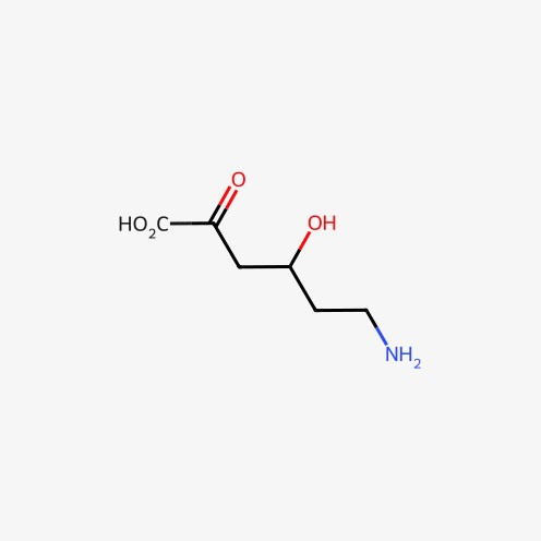 NCCC(O)CC(=O)C(=O)O